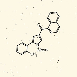 CCCCCn1cc(C(=O)c2cccc3ccccc23)cc1-c1ccccc1C